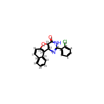 O=c1[nH]c(-c2ccccc2Cl)nc2c1oc1ccc3ccccc3c12